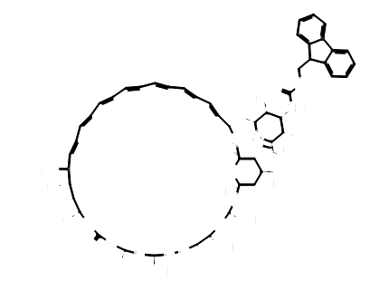 CC1/C=C/C=C/C=C/C=C/C=C/C=C/C=C/[C@H](O[C@@H]2O[C@H](C)[C@@H](O)[C@H](NC(=O)OCC3c4ccccc4-c4ccccc43)[C@@H]2O)C[C@@H]2O[C@](O)(C[C@@H](O)C[C@@H](O)[C@H](O)CC[C@@H](O)C[C@@H](O)CC(=O)O[C@@H](C)[C@H](C)[C@@H]1O)C[C@H](O)[C@H]2C(=O)O